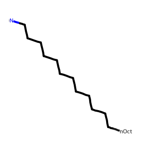 CCCCCCCCCCCCCCCCCCCC[N]